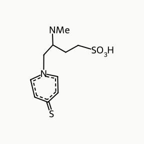 CNC(CCS(=O)(=O)O)Cn1ccc(=S)cc1